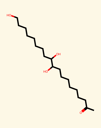 CC(=O)CCCCCCCC(O)C(O)CCCCCCCCO